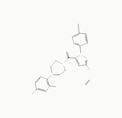 C=O.Cc1ccc(-n2nc(C)cc2C(=O)N2CCN(c3ccc(C)cc3C)CC2)cc1